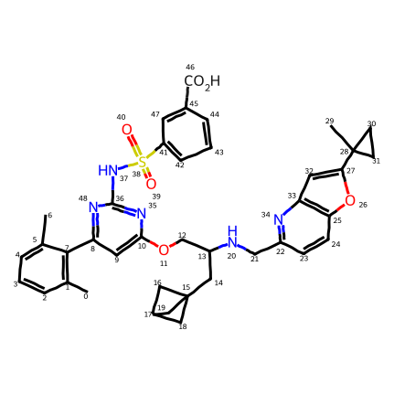 Cc1cccc(C)c1-c1cc(OCC(CC23CC(C2)C3)NCc2ccc3oc(C4(C)CC4)cc3n2)nc(NS(=O)(=O)c2cccc(C(=O)O)c2)n1